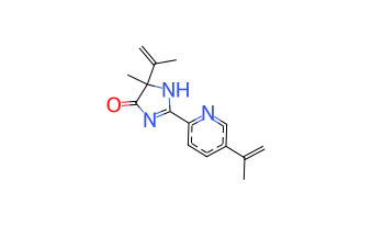 C=C(C)c1ccc(C2=NC(=O)C(C)(C(=C)C)N2)nc1